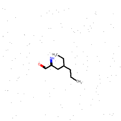 CCCC(CC)CC(=N)C=O